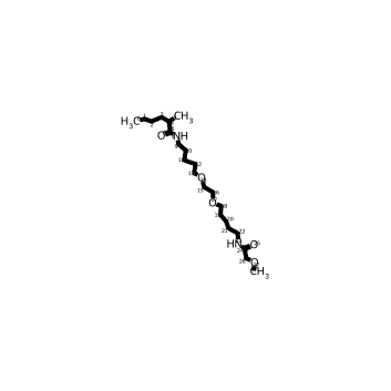 CCCCC(C)C(=O)NCCCCCOCCOCCCCCNC(=O)COC